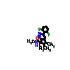 C=C1[C@H](C)c2cc(-c3c(F)cccc3F)nnc2[C@@]1(C)C(=O)NC